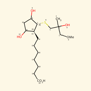 COCC(C)(O)CS[C@H]1C(O)CC(O)[C@@H]1CCCCCCC(=O)O